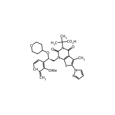 C=C/C(OC)=C(\C=C/C)[C@H](Cn1c(=O)n(C(C)(C)C(=O)O)c(=O)c2c(C)c(-n3cccn3)sc21)OC1CCOCC1